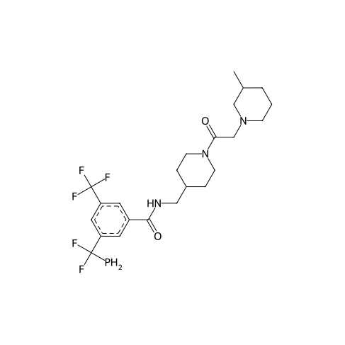 CC1CCCN(CC(=O)N2CCC(CNC(=O)c3cc(C(F)(F)F)cc(C(F)(F)P)c3)CC2)C1